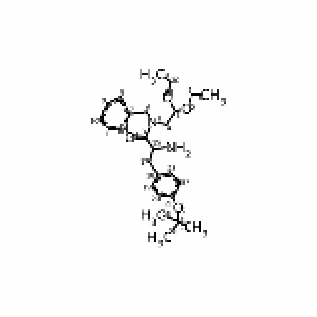 CCOC(CN(Cc1ccccn1)C(=O)C(N)Cc1ccc(OC(C)(C)C)cc1)OCC